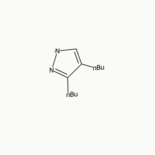 CCCCC1=C[N]N=C1CCCC